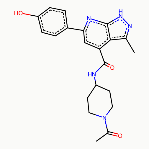 CC(=O)N1CCC(NC(=O)c2cc(-c3ccc(O)cc3)nc3[nH]nc(C)c23)CC1